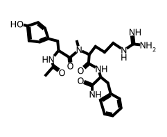 CC(=O)NC(Cc1ccc(O)cc1)C(=O)N(C)C(CCCNC(=N)N)C(=O)NC(Cc1ccccc1)C(N)=O